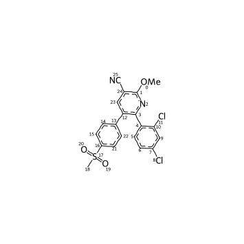 COc1nc(-c2ccc(Cl)cc2Cl)c(-c2ccc(S(C)(=O)=O)cc2)cc1C#N